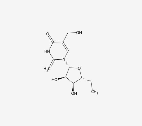 C=C1NC(=O)C(CO)=CN1[C@@H]1O[C@H](CC)[C@@H](O)[C@H]1O